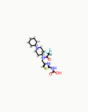 O=C(O)Nc1nc(CN(C(=O)C(F)(F)F)C2CCN(C3CCCCC3)CC2)cs1